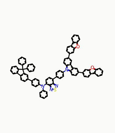 c1ccc(N(c2ccc(-c3ccc4c(c3)C(c3ccccc3)(c3ccccc3)c3ccccc3-4)cc2)c2ccc(-c3ccc(-n4c5ccc(-c6ccc7c(c6)oc6ccccc67)cc5c5cc(-c6ccc7c(c6)oc6ccccc67)ccc54)cc3)c3nsnc23)cc1